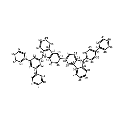 C1=CC(c2cc(-c3ccccc3)cc(-n3c4c(c5cc(-c6ccc7c(c6)c6ccccc6n7-c6ccc(-c7ccccc7)cc6)ccc53)CCC=C4)c2)=CCC1